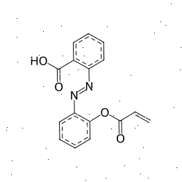 C=CC(=O)Oc1ccccc1N=Nc1ccccc1C(=O)O